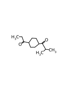 CCC(=O)C1CCC(C(=O)C(C)C)CC1